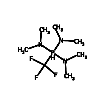 CN(C)[PH](N(C)C)(N(C)C)C(F)(F)F